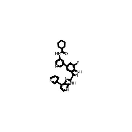 O=C(Nc1cncc(-c2cc(F)c3[nH]nc(-c4nc5c(-c6cccnc6)ccnc5[nH]4)c3c2)c1)C1CCCCC1